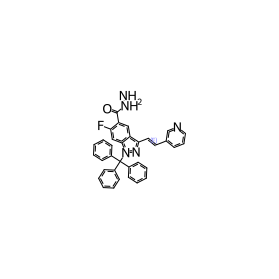 NNC(=O)c1cc2c(/C=C/c3cccnc3)nn(C(c3ccccc3)(c3ccccc3)c3ccccc3)c2cc1F